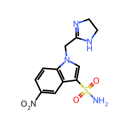 NS(=O)(=O)c1cn(CC2=NCCN2)c2ccc([N+](=O)[O-])cc12